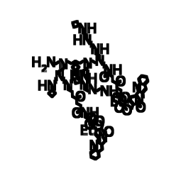 CC[C@]1(OC(=O)CNC(=O)CCC(=O)CCCN(CCNC2CCC2)CCN(CCNC2CCC2)CCN(CCN)CCCCCN(CCNCCN(CCNCCN)C2CCC2)CCN(CCNCCNCCNC2CCC2)CCNC(=O)CCC(=O)CCC(=O)O[C@]2(CC)C(=O)OCc3c2cc2n(c3=O)Cc3cc4ccccc4nc3-2)C(=O)OCc2c1cc1n(c2=O)Cc2cc3ccccc3nc2-1